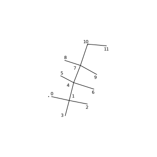 [CH2]C(C)(C)C(C)(C)C(C)(C)CC